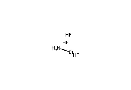 CCN.F.F.F